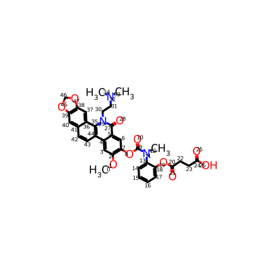 COc1cc2c(cc1OC(=O)N(C)c1ccccc1OC(=O)CCC(=O)O)c(=O)n(CCN(C)C)c1c3cc4c(cc3ccc21)OCO4